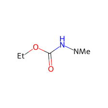 CCOC(=O)NNC